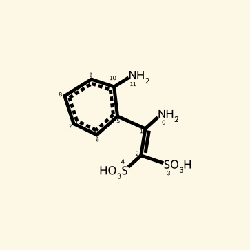 NC(=C(S(=O)(=O)O)S(=O)(=O)O)c1ccccc1N